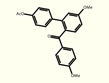 COc1ccc(C(=O)c2ccc(OC)cc2-c2ccc(OC(C)=O)cc2)cc1